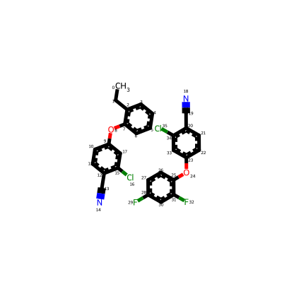 CCc1ccccc1Oc1ccc(C#N)c(Cl)c1.N#Cc1ccc(Oc2ccc(F)cc2F)cc1Cl